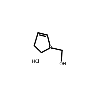 Cl.OCN1C=CCC1